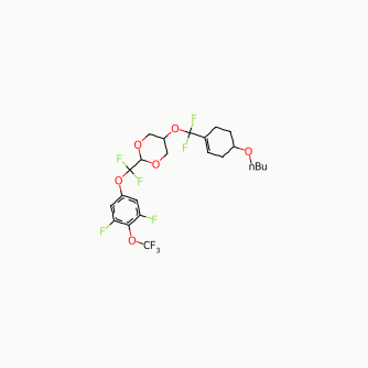 CCCCOC1CC=C(C(F)(F)OC2COC(C(F)(F)Oc3cc(F)c(OC(F)(F)F)c(F)c3)OC2)CC1